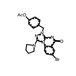 CC(=O)Oc1ccc(Cn2nc(N3CCCC3)n3c4ccc(Br)cc4c(=O)nc23)cc1